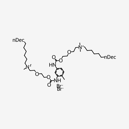 CCCCCCCCCCCCCCCC[N+](C)(C)CCOCCOC(=O)Nc1ccc(C)c(NC(=O)OCCOCC[N+](C)(C)CCCCCCCCCCCCCCCC)c1.[Br-].[Br-]